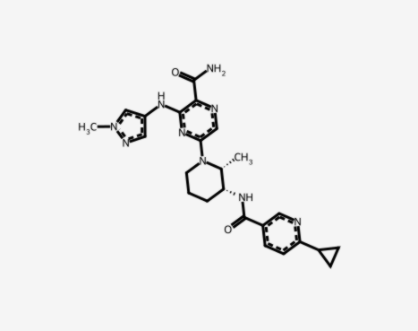 C[C@@H]1[C@H](NC(=O)c2ccc(C3CC3)nc2)CCCN1c1cnc(C(N)=O)c(Nc2cnn(C)c2)n1